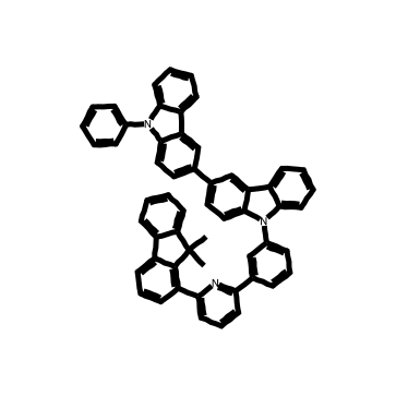 CC1(C)c2ccccc2-c2cccc(-c3cccc(-c4cccc(-n5c6ccccc6c6cc(-c7ccc8c(c7)c7ccccc7n8-c7ccccc7)ccc65)c4)n3)c21